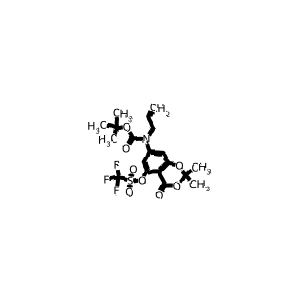 C=CCN(C(=O)OC(C)(C)C)c1cc2c(c(OS(=O)(=O)C(F)(F)F)c1)C(=O)OC(C)(C)O2